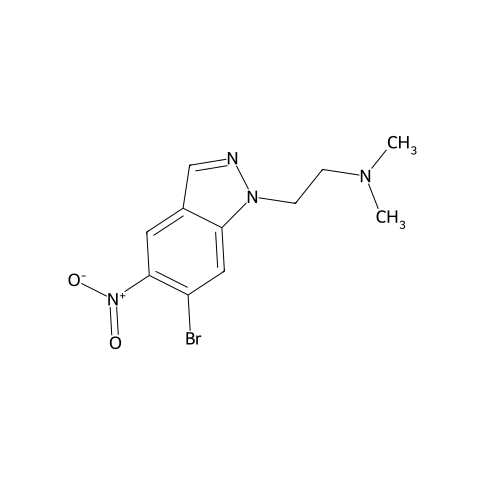 CN(C)CCn1ncc2cc([N+](=O)[O-])c(Br)cc21